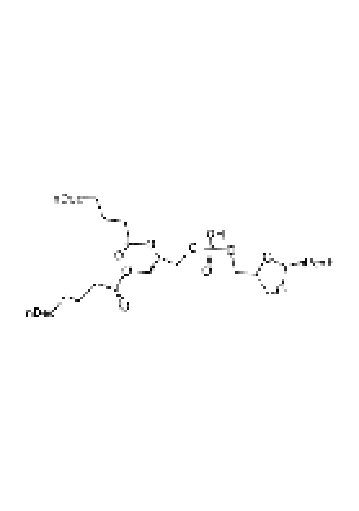 CCCCCCCCCCCCCC(=O)OC[C@H](COP(=O)(O)OCC1COC(CCCCC)O1)OC(=O)CCCCCCCCCCCCC